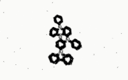 c1ccc(N2c3ccccc3B3c4ccc(-n5c6ccccc6c6ccccc65)cc4N(c4ccccc4)c4cccc2c43)cc1